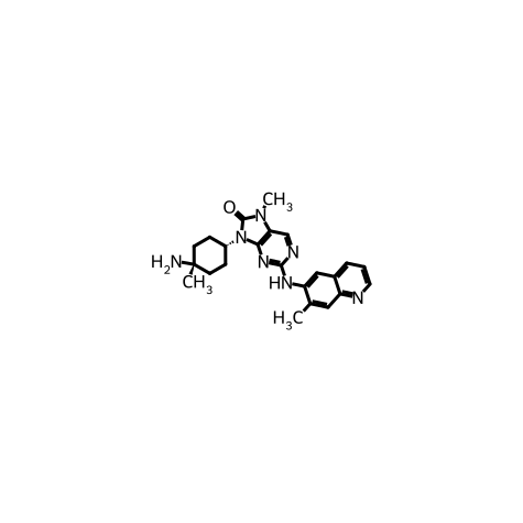 Cc1cc2ncccc2cc1Nc1ncc2c(n1)n([C@H]1CC[C@@](C)(N)CC1)c(=O)n2C